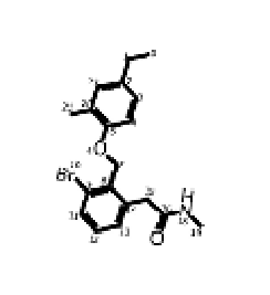 CCc1ccc(OCc2c(Br)cccc2CC(=O)NC)c(C)c1